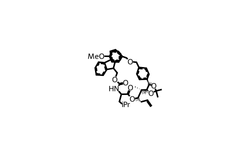 C=CC[C@H](OC(=O)C(CC(C)C)NC(=O)OCC1c2ccccc2-c2ccccc21)[C@H](C)[C@H]1OC(C)(C)O[C@@H]1c1ccc(COCc2ccc(OC)cc2)cc1